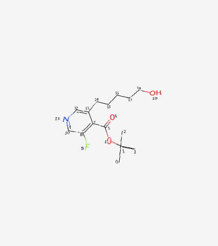 CC(C)(C)OC(=O)c1c(F)cncc1CCCCCO